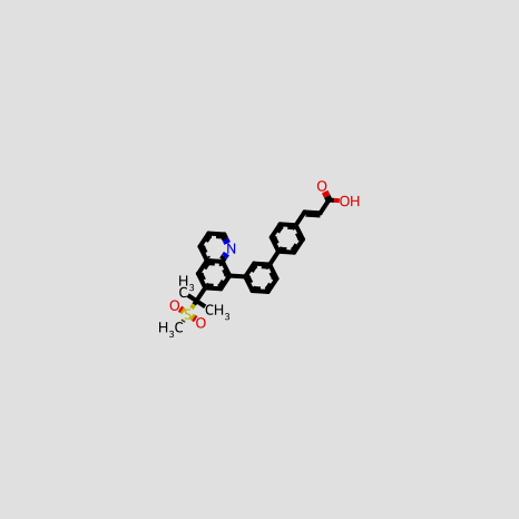 CC(C)(c1cc(-c2cccc(-c3ccc(/C=C/C(=O)O)cc3)c2)c2ncccc2c1)S(C)(=O)=O